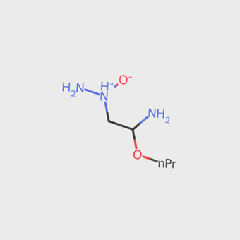 CCCOC(N)C[NH+](N)[O-]